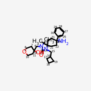 CC1(C)N(CC2(O)CCOCC2)C(=O)N(CC2CCC2)C12CCC(N)(c1ccccc1)CC2